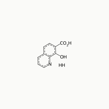 O=C(O)c1ccc2cccnc2c1O.[HH]